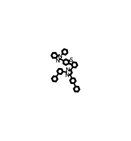 c1ccc(-c2ccc(-c3cc(-c4cccc5sc6cc(-c7nc8ccccc8n7-c7ccccc7)ccc6c45)nc(-c4cccc(-c5ccccc5)c4)n3)cc2)cc1